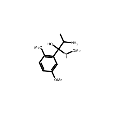 CONC(O)(c1cc(OC)ccc1OC)C(C)N